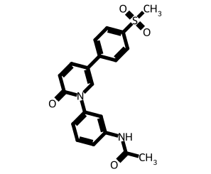 CC(=O)Nc1cccc(-n2cc(-c3ccc(S(C)(=O)=O)cc3)ccc2=O)c1